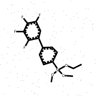 CCO[Si](OC)(OC)c1ccc(-c2cc(F)c(F)c(F)c2F)cc1